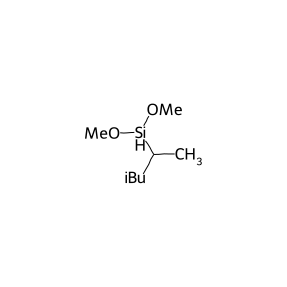 CCC(C)C(C)[SiH](OC)OC